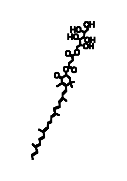 C/C=C/C(C)=C/C=C/C(C)=C/C=C/C=C(C)/C=C/C=C(C)/C=C/C1=C(C)C(=O)C(OC(=O)CCC(=O)OCC(O)C(O)C(O)C(O)CO)CC1(C)C